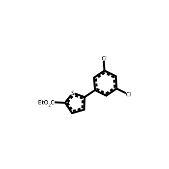 CCOC(=O)c1ccc(-c2cc(Cl)cc(Cl)c2)s1